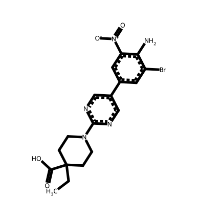 CCC1(C(=O)O)CCN(c2ncc(-c3cc(Br)c(N)c([N+](=O)[O-])c3)cn2)CC1